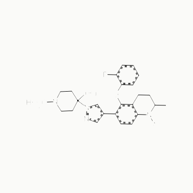 CC(=O)N1c2ccc(-c3cnn(C4(C(C)(C)C)CCN(C(=O)O)CC4)c3)c(Oc3ccccc3F)c2CCC1C